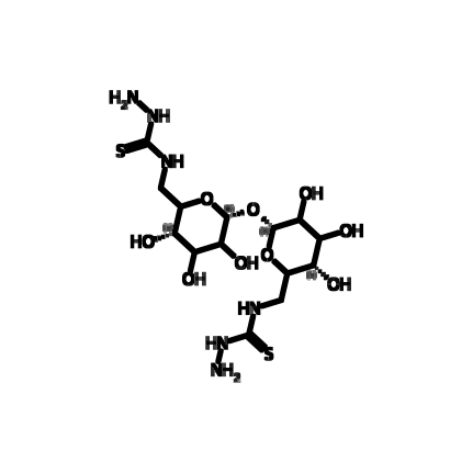 NNC(=S)NCC1O[C@H](O[C@H]2OC(CNC(=S)NN)[C@@H](O)C(O)C2O)C(O)C(O)[C@@H]1O